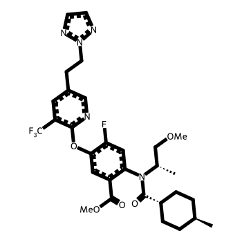 COC[C@H](C)N(c1cc(F)c(Oc2ncc(CCn3nccn3)cc2C(F)(F)F)cc1C(=O)OC)C(=O)[C@H]1CC[C@H](C)CC1